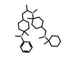 CC(CC1CCC(C)(N(C)c2ccccc2)CC1)N(C)C1(C)CCC(CN(C)C2(C)CCCCC2)CC1